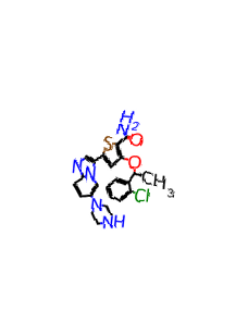 CC(Oc1cc(-c2cnc3ccc(N4CCNCC4)cn23)sc1C(N)=O)c1ccccc1Cl